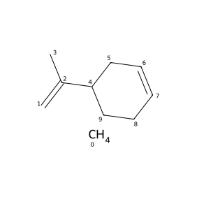 C.C=C(C)C1CC=CCC1